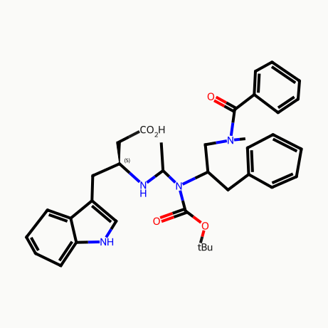 CC(N[C@H](CC(=O)O)Cc1c[nH]c2ccccc12)N(C(=O)OC(C)(C)C)C(Cc1ccccc1)CN(C)C(=O)c1ccccc1